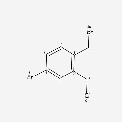 ClCc1cc(Br)ccc1CBr